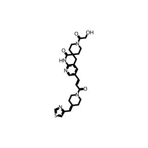 O=C(C=Cc1cnc2c(c1)CC1(CCN(C(=O)CO)CC1)C(=O)N2)N1CCC(=Cc2cscn2)CC1